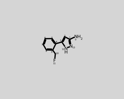 Nc1cc(-c2ccccc2CF)[nH]n1